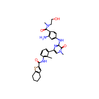 Cc1c(NC(=O)c2cc3c(s2)CCCC3)cccc1-c1cn(C)c(=O)c(Nc2ccc(C(=O)N(C)CCO)c(N)c2)n1